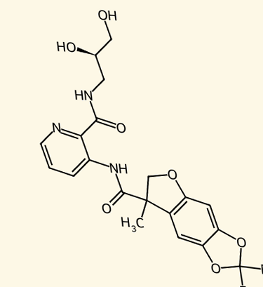 CC1(C(=O)Nc2cccnc2C(=O)NC[C@@H](O)CO)COc2cc3c(cc21)OC(F)(F)O3